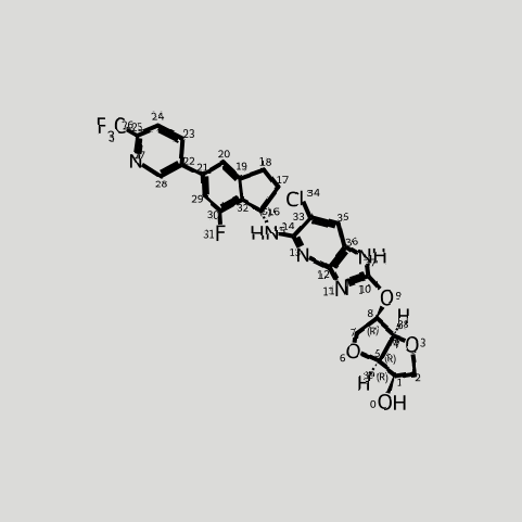 O[C@@H]1CO[C@H]2[C@@H]1OC[C@H]2Oc1nc2nc(N[C@H]3CCc4cc(-c5ccc(C(F)(F)F)nc5)cc(F)c43)c(Cl)cc2[nH]1